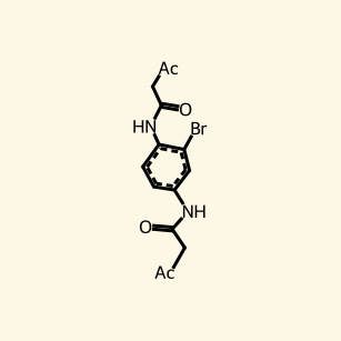 CC(=O)CC(=O)Nc1ccc(NC(=O)CC(C)=O)c(Br)c1